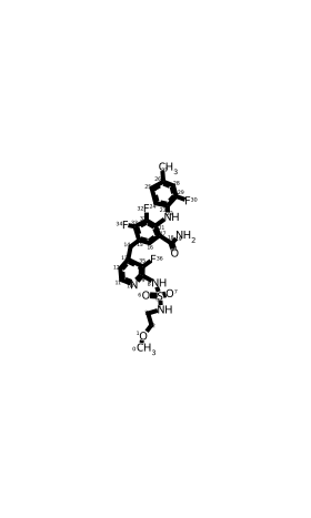 COCCNS(=O)(=O)Nc1nccc(Cc2cc(C(N)=O)c(Nc3ccc(C)cc3F)c(F)c2F)c1F